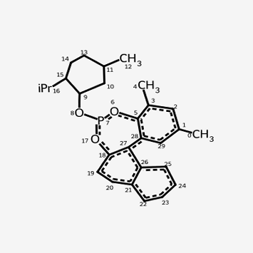 Cc1cc(C)c2op(OC3CC(C)CCC3C(C)C)oc3ccc4ccccc4c3c2c1